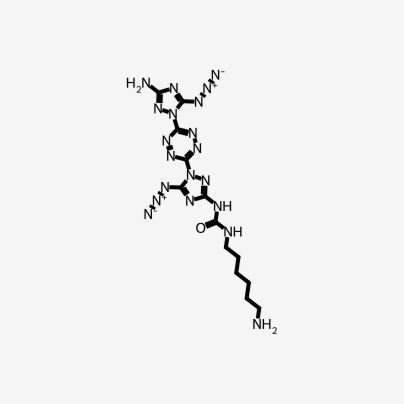 [N-]=[N+]=Nc1nc(N)nn1-c1nnc(-n2nc(NC(=O)NCCCCCCN)nc2N=[N+]=[N-])nn1